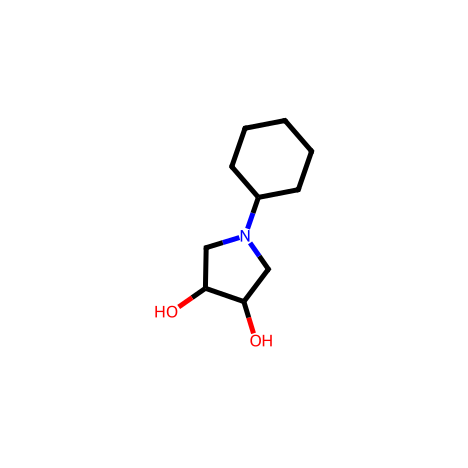 OC1CN(C2CCCCC2)CC1O